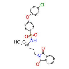 O=C(O)[C@@H](CCCN1C(=O)c2ccccc2C1=O)NS(=O)(=O)c1ccc(Oc2ccc(Cl)cc2)cc1